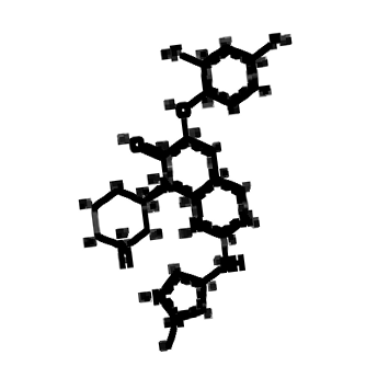 Cn1cc(Nc2ncc3cc(Oc4ccc(F)cc4F)c(=O)n([C@@H]4CCCNC4)c3n2)cn1